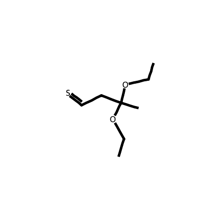 CCOC(C)(CC=S)OCC